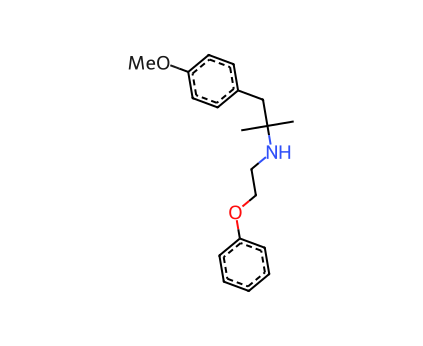 COc1ccc(CC(C)(C)NCCOc2ccccc2)cc1